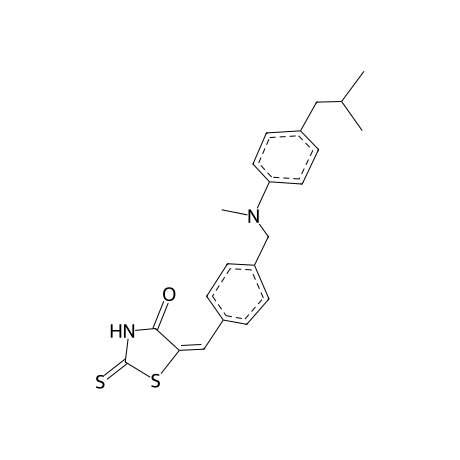 CC(C)Cc1ccc(N(C)Cc2ccc(C=C3SC(=S)NC3=O)cc2)cc1